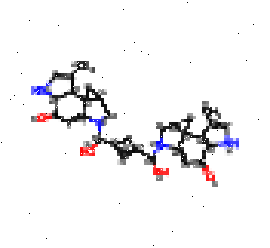 CC1=CNC2C(=O)C=C3N(C(O)C45CC(C(O)N6CC7CC78C6=CC(=O)c6[nH]cc(C)c68)(C4)C5)CC4CC34C12